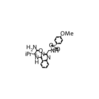 COc1ccc(S(=O)(=O)NCc2nc(N[C@H](C(N)=O)C(C)C)c3ccccc3n2)cc1